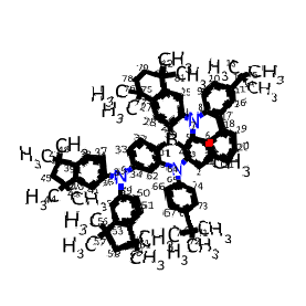 Cc1cc2c3c(c1)N(c1ccc(C(C)(C)C)cc1-c1ccccc1)c1cc4c(cc1B3c1ccc(N(c3ccc5c(c3)C(C)(C)CC5(C)C)c3ccc5c(c3)C(C)(C)CC5(C)C)cc1N2c1ccc(C(C)(C)C)cc1)C(C)(C)CCC4(C)C